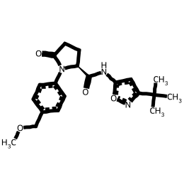 COCc1ccc(N2C(=O)CC[C@H]2C(=O)Nc2cc(C(C)(C)C)no2)cc1